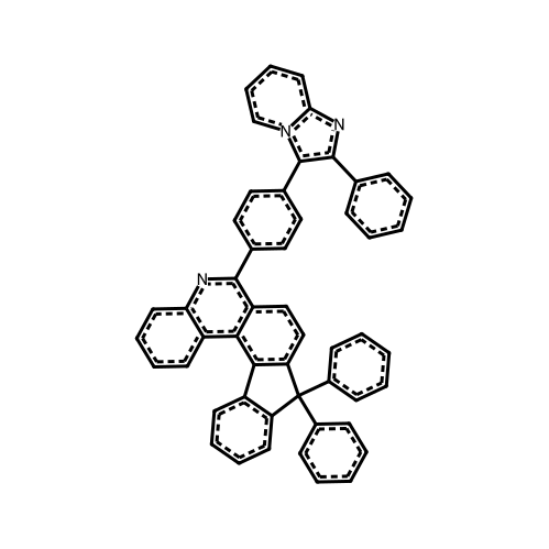 c1ccc(-c2nc3ccccn3c2-c2ccc(-c3nc4ccccc4c4c5c(ccc34)C(c3ccccc3)(c3ccccc3)c3ccccc3-5)cc2)cc1